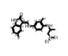 CCN(CC)CC(C)Nc1ccc(N/C=C2/C(=O)Nc3ccc(F)cc32)cc1C